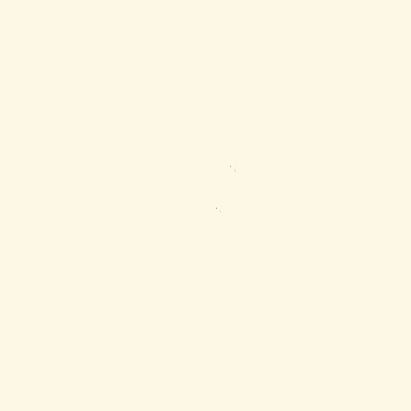 Clc1ccc(C(c2ccccc2)(c2ccccc2)n2cc[n+](C(c3ccccc3)c3ccc(-c4ccccc4)cc3)c2)c(Cl)c1.[Cl-]